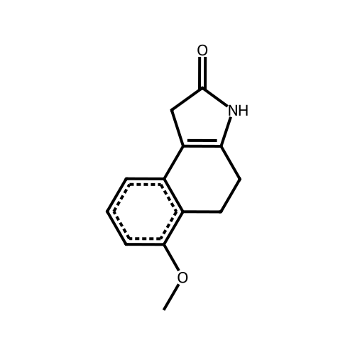 COc1cccc2c1CCC1=C2CC(=O)N1